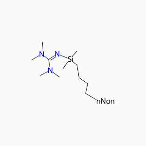 CCCCCCCCCCCCC[Si](C)(C)N=C(N(C)C)N(C)C